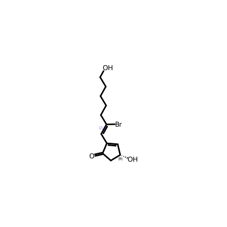 O=C1C[C@@H](O)C=C1/C=C(\Br)CCCCCO